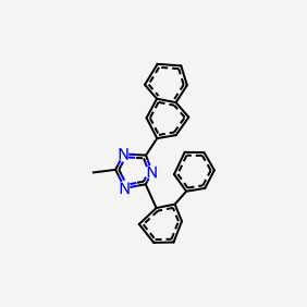 Cc1nc(-c2ccc3ccccc3c2)nc(-c2ccccc2-c2ccccc2)n1